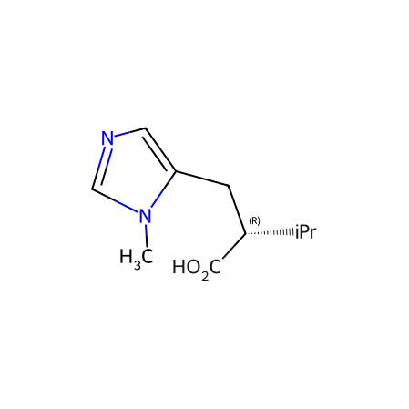 CC(C)[C@@H](Cc1cncn1C)C(=O)O